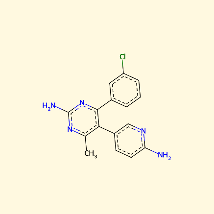 Cc1nc(N)nc(-c2cccc(Cl)c2)c1-c1ccc(N)nc1